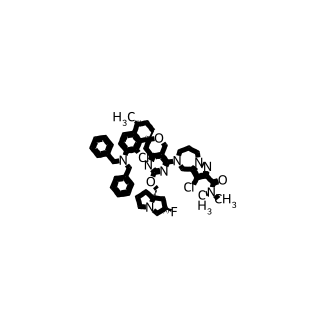 C[C@H]1CC[C@@]2(Cc3nc(OC[C@@]45CCCN4C[C@H](F)C5)nc(N4CCCn5nc(C(=O)N(C)C)c(Cl)c5C4)c3CO2)c2c1ccc(N(Cc1ccccc1)Cc1ccccc1)c2C#N